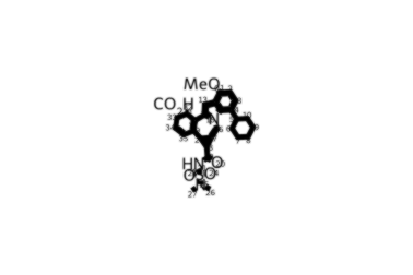 COc1ccc(C2CCCCC2)c2c1cc1n2C=C2C(C(=O)NS(=O)(=O)N(C)C)=C2C2=C1[C@H](C(=O)O)CC=C2